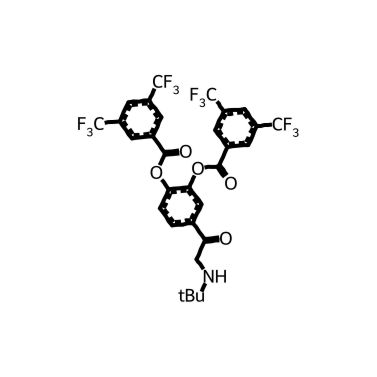 CC(C)(C)NCC(=O)c1ccc(OC(=O)c2cc(C(F)(F)F)cc(C(F)(F)F)c2)c(OC(=O)c2cc(C(F)(F)F)cc(C(F)(F)F)c2)c1